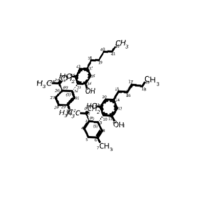 C=C(C)[C@@H]1CCC(C)=C[C@H]1c1c(O)cc(CCCCC)cc1O.C=C(C)[C@@H]1CCC(C)=C[C@H]1c1c(O)cc(CCCCC)cc1O